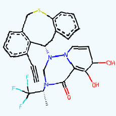 C#Cc1cccc2c1[C@@H](N1CN([C@H](C)C(F)(F)F)C(=O)C3=C(O)C(O)C=CN31)c1ccccc1SC2